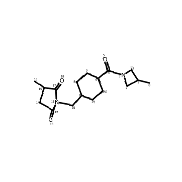 CC1CN(C(=O)C2CCC(CN3C(=O)CC(C)C3=O)CC2)C1